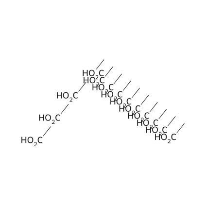 CC(=O)O.CC(=O)O.CC(=O)O.CC(=O)O.CC(=O)O.CC(=O)O.CC(=O)O.CC(=O)O.CC(=O)O.CC(=O)O.CC(=O)O.CC(=O)O.CC(=O)O